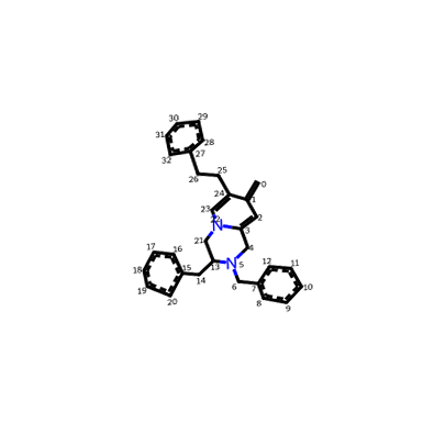 C=C1C=C2CN(Cc3ccccc3)C(Cc3ccccc3)CN2C=C1CCc1ccccc1